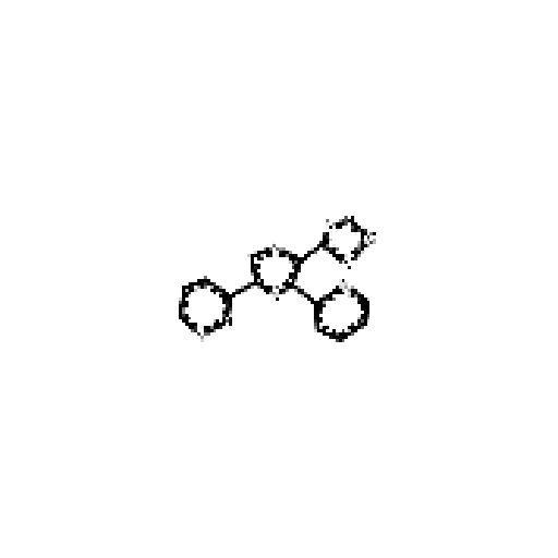 [c]1nc(-c2nnon2)c(-c2ccccn2)nc1-c1cccnn1